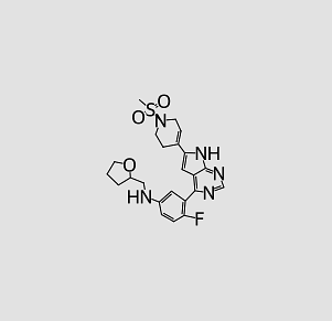 CS(=O)(=O)N1CC=C(c2cc3c(-c4cc(NCC5CCCO5)ccc4F)ncnc3[nH]2)CC1